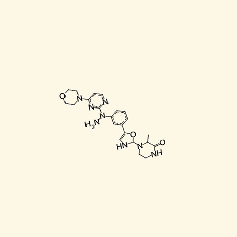 CC1C(=O)NCCN1C1NC=C(c2cccc(N(N)c3nccc(N4CCOCC4)n3)c2)O1